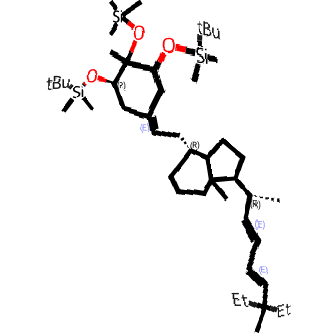 CCC(C)(/C=C/C=C/[C@@H](C)C1CCC2[C@@H](C/C=C3\CC(O[Si](C)(C)C(C)(C)C)C(C)(O[Si](C)(C)C)[C@H](O[Si](C)(C)C(C)(C)C)C3)CCCC21C)CC